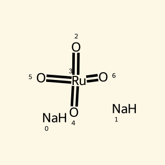 [NaH].[NaH].[O]=[Ru](=[O])(=[O])=[O]